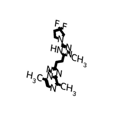 Cc1ncc(C)n2nc(CCC3NC(N4CCC(F)(F)C4)=NN3C)nc12